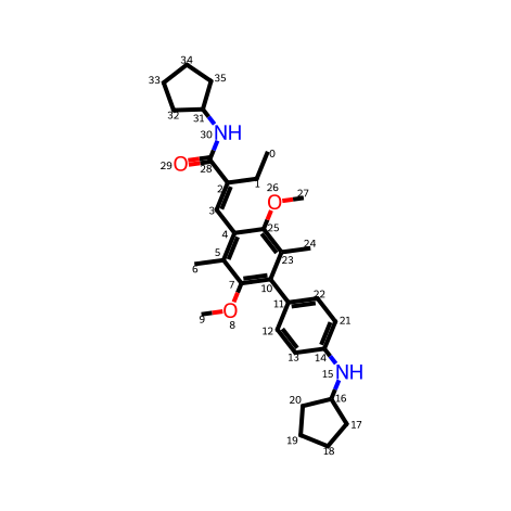 CC/C(=C\c1c(C)c(OC)c(-c2ccc(NC3CCCC3)cc2)c(C)c1OC)C(=O)NC1CCCC1